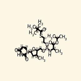 CC(C)OC(=O)C(C)NP(OCCSC(=O)C(C)(C)C)OCC1OC(n2ccc(=O)[nH]c2=O)CC1C